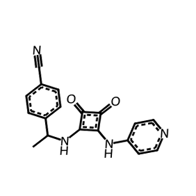 CC(Nc1c(Nc2ccncc2)c(=O)c1=O)c1ccc(C#N)cc1